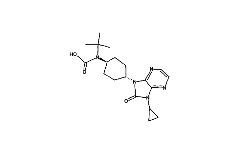 CC(C)(C)N(C(=O)O)[C@H]1CC[C@H](n2c(=O)n(C3CC3)c3nccnc32)CC1